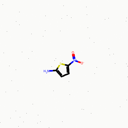 Nc1ccc([N+](=O)[O-])s1